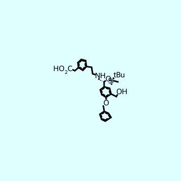 CC(C)(C)[Si](C)(C)O[C@@H](CNCCc1cccc(CC(=O)O)c1)c1ccc(OCc2ccccc2)c(CO)c1